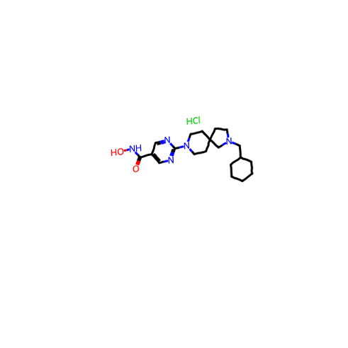 Cl.O=C(NO)c1cnc(N2CCC3(CCN(CC4CCCCC4)C3)CC2)nc1